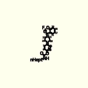 CCCCCCCNC(=O)Oc1ccc(N2CCN(C(=O)c3ccccc3C(F)(F)F)CC2)nn1